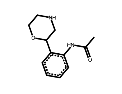 CC(=O)Nc1ccccc1C1CNCCO1